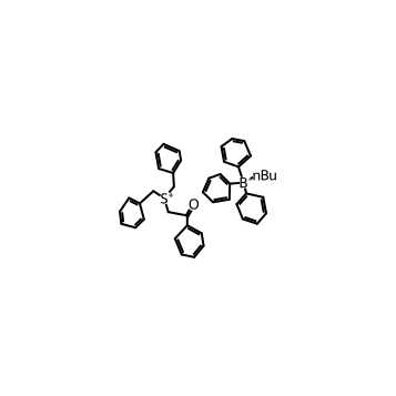 CCCC[B-](c1ccccc1)(c1ccccc1)c1ccccc1.O=C(C[S+](Cc1ccccc1)Cc1ccccc1)c1ccccc1